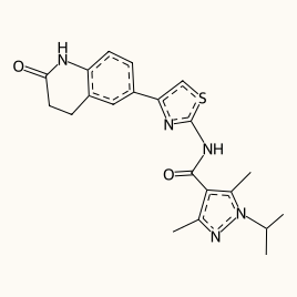 Cc1nn(C(C)C)c(C)c1C(=O)Nc1nc(-c2ccc3c(c2)CCC(=O)N3)cs1